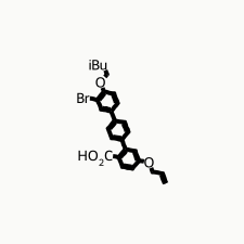 C=CCOc1ccc(C(=O)O)c(-c2ccc(-c3ccc(OCC(C)CC)c(Br)c3)cc2)c1